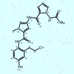 CCCCC(=O)Nn1cccc1C(=O)Nc1cc(C(=O)Nc2ccc(O)cc2CCCl)n(C)c1